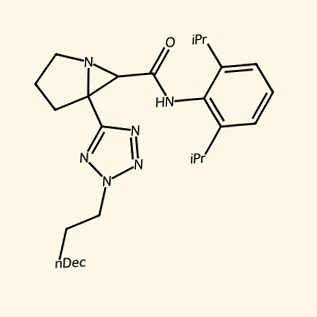 CCCCCCCCCCCCn1nnc(C23CCCN2C3C(=O)Nc2c(C(C)C)cccc2C(C)C)n1